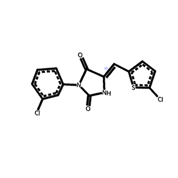 O=C1N/C(=C\c2ccc(Cl)s2)C(=O)N1c1cccc(Cl)c1